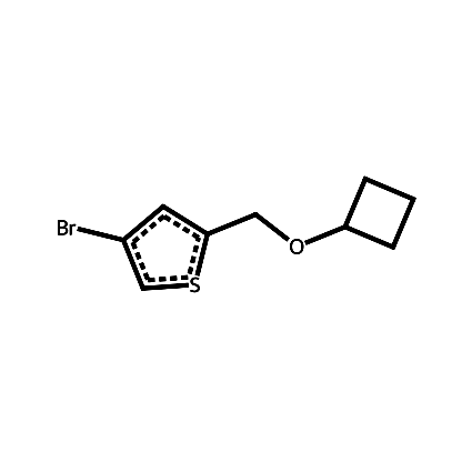 Brc1csc(COC2CCC2)c1